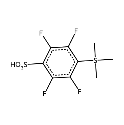 CS(C)(C)c1c(F)c(F)c(S(=O)(=O)O)c(F)c1F